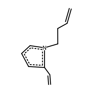 C=CCCn1cccc1C=C